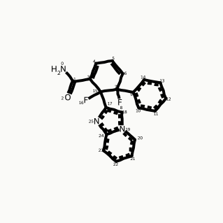 NC(=O)C1=CC=CC(F)(c2ccccc2)C1(F)c1cn2ccccc2n1